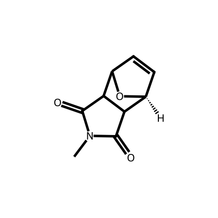 CN1C(=O)C2C3C=C[C@H](O3)C2C1=O